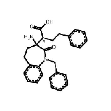 NC1([C@H](CCc2ccccc2)C(=O)O)CCc2ccccc2N(Cc2ccccc2)C1=O